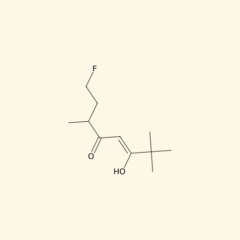 CC(CCF)C(=O)/C=C(\O)C(C)(C)C